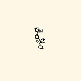 Oc1ccc(-c2ccn[nH]2)cc1-n1ccnc1CN1CCCC1